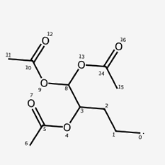 [CH2]CCC(OC(C)=O)C(OC(C)=O)OC(C)=O